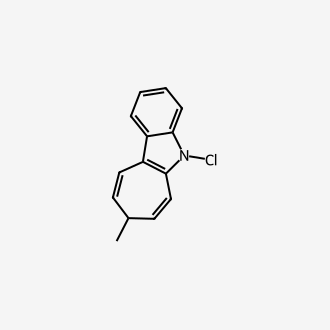 CC1C=Cc2c(n(Cl)c3ccccc23)C=C1